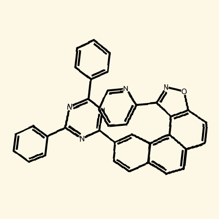 c1ccc(-c2nc(-c3ccccc3)nc(-c3ccc4ccc5ccc6onc(-c7ccccn7)c6c5c4c3)n2)cc1